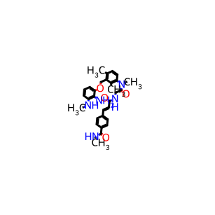 CNC(=O)c1ccc(C=CC(=O)NCC(=O)N(C)c2ccc(C)c(COc3cccc(NC)c3N)c2C)cc1